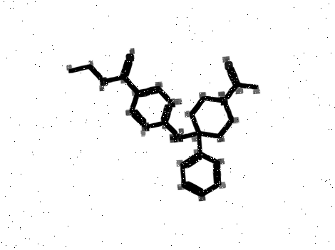 CCOC(=O)c1cnc(NC2(c3ccccc3)CCN(C(C)=O)CC2)nc1